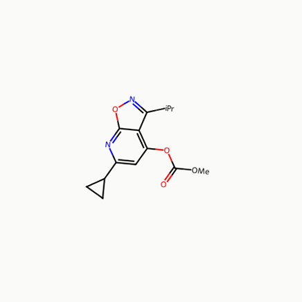 COC(=O)Oc1cc(C2CC2)nc2onc(C(C)C)c12